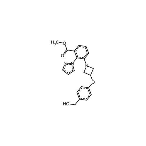 COC(=O)c1cccc(N2CC(Oc3ccc(CO)cc3)C2)c1-n1cccn1